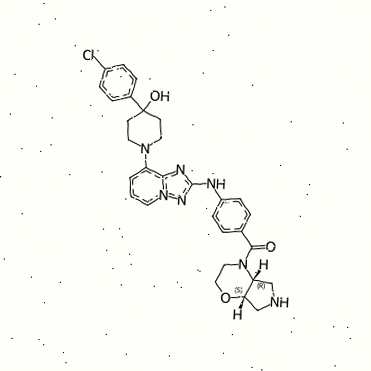 O=C(c1ccc(Nc2nc3c(N4CCC(O)(c5ccc(Cl)cc5)CC4)cccn3n2)cc1)N1CCO[C@H]2CNC[C@H]21